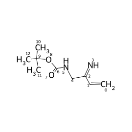 C=CC(=N)CNC(=O)OC(C)(C)C